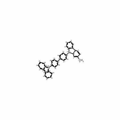 CC1=CC2C(C=C1)c1ccccc1N2c1ccc(-c2ccc(-n3c4ccccc4c4ccccc43)cc2)cc1